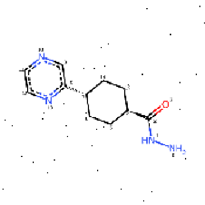 NNC(=O)[C@H]1CC[C@H](c2cnccn2)CC1